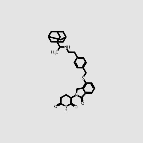 CC(NCCc1ccc(CSc2cccc3c2CN(C2CCC(=O)NC2=O)C3=O)cc1)C12CC3CC(CC(C3)C1)C2